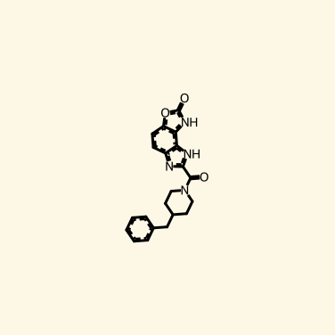 O=C(c1nc2ccc3oc(=O)[nH]c3c2[nH]1)N1CCC(Cc2ccccc2)CC1